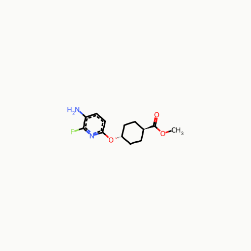 COC(=O)[C@H]1CC[C@H](Oc2ccc(N)c(F)n2)CC1